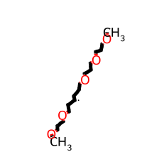 COCCCOCC[CH]CCCOCCCOCCCOC